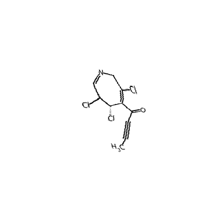 CC#CC(=O)C1=C(Cl)CN=CC(Cl)[C@H]1Cl